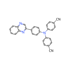 N#Cc1ccc(N(c2ccc(C#N)cc2)c2ccc(-c3cnc4ccccc4n3)cc2)cc1